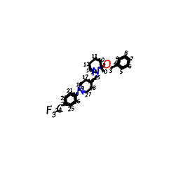 CC1(OCc2ccccc2)CCCCN1CC1CCN(c2ccc(C(F)(F)F)cc2)CC1